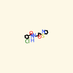 O=C(N/N=C/c1ccc(Sc2ccccn2)o1)c1cccc(Cl)c1